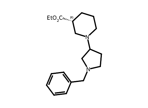 CCOC(=O)[C@@H]1CCCN(C2CCN(Cc3ccccc3)C2)C1